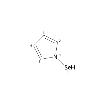 [SeH]n1cccc1